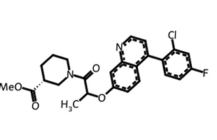 COC(=O)[C@@H]1CCCN(C(=O)C(C)Oc2ccc3c(-c4ccc(F)cc4Cl)ccnc3c2)C1